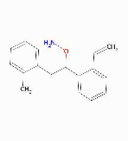 C=Cc1ccccc1C(Cc1ccccc1C)ON